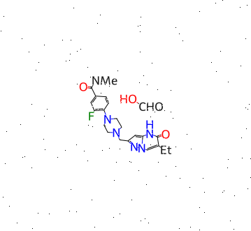 CCc1cn2nc(CN3CCN(c4ccc(C(=O)NC)cc4F)CC3)cc2[nH]c1=O.O=CO